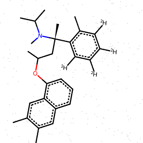 [2H]c1c([2H])c([2H])c([C@](C)(CC(C)Oc2cccc3cc(C)c(C)cc23)N(C)C(C)C)c(C)c1[2H]